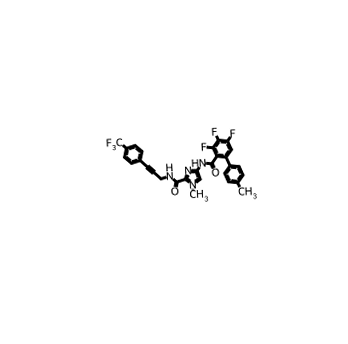 Cc1ccc(-c2cc(F)c(F)c(F)c2C(=O)Nc2cn(C)c(C(=O)NCC#Cc3ccc(C(F)(F)F)cc3)n2)cc1